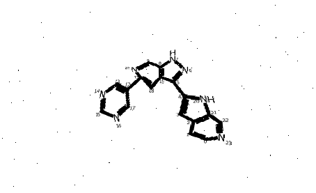 c1cc2cc(-c3n[nH]c4cnc(-c5cncnc5)cc34)[nH]c2cn1